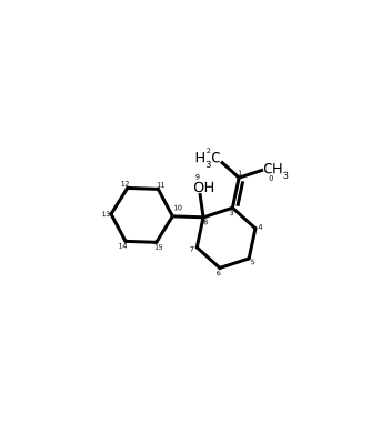 CC(C)=C1CCCCC1(O)C1CCCCC1